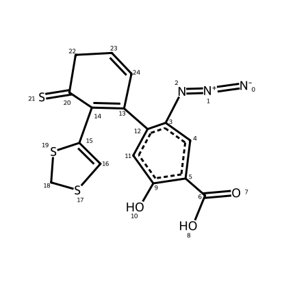 [N-]=[N+]=Nc1cc(C(=O)O)c(O)cc1C1=C(C2=CSCS2)C(=S)CC=C1